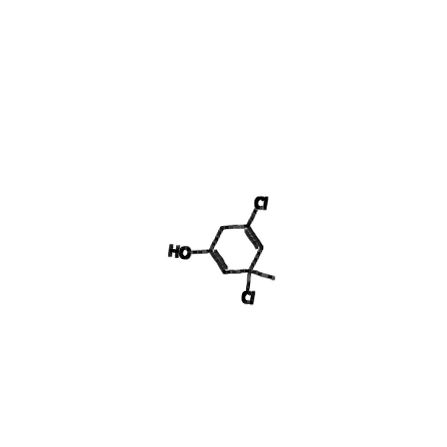 CC1(Cl)C=C(O)CC(Cl)=C1